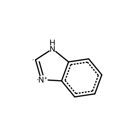 [C]1=[N+]c2ccccc2N1